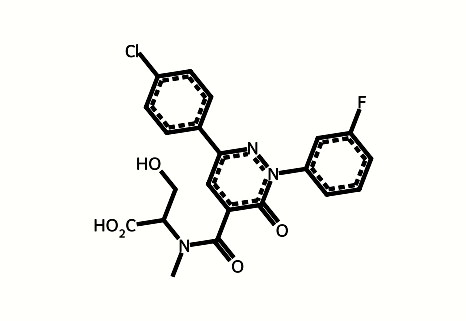 CN(C(=O)c1cc(-c2ccc(Cl)cc2)nn(-c2cccc(F)c2)c1=O)C(CO)C(=O)O